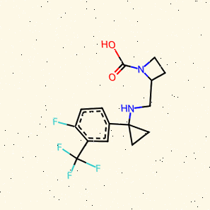 O=C(O)N1CCC1CNC1(c2ccc(F)c(C(F)(F)F)c2)CC1